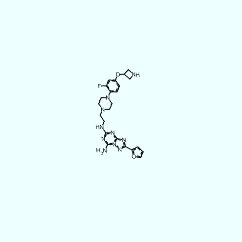 Nc1nc(NCCN2CCN(c3ccc(OC4CNC4)cc3F)CC2)nc2nc(-c3ccco3)nn12